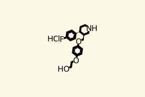 Cl.OCCOc1ccc(OC[C@@H]2CNCC[C@H]2c2ccc(F)cc2)cc1